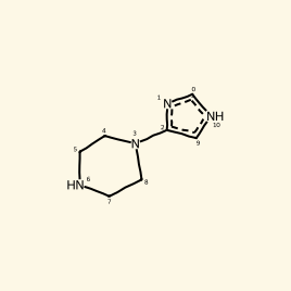 [c]1nc(N2CCNCC2)c[nH]1